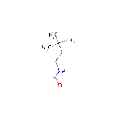 CC(C)(C)CCN[C]=O